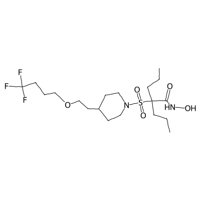 CCCC(CCC)(C(=O)NO)S(=O)(=O)N1CCC(CCOCCCC(F)(F)F)CC1